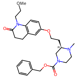 COCCN1C(=O)CCc2cc(OCC[C@@H]3CN(C(=O)OCc4ccccc4)CCN3C)ccc21